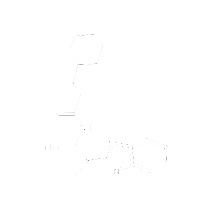 CCCC[C@H](NC(=O)CCC1CCCCC1)C(=O)c1nc2ccccc2o1